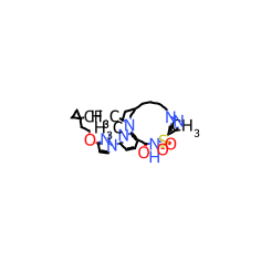 Cc1c2cnn1CCCCC1CN(c3nc(-n4ccc(OCCC5(C(F)(F)F)CC5)n4)ccc3C(=O)NS2(=O)=O)C(C)(C)C1